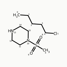 CCCCCCl.CS(=O)(=O)N1CCNCC1